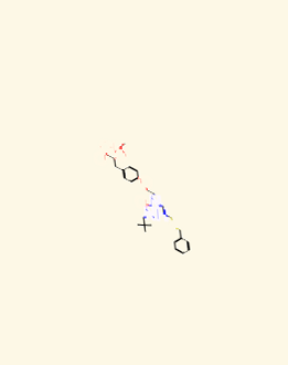 CCOC(Cc1ccc(OCCN(CCCSCc2ccccc2)C(=O)NCC(C)(C)C)cc1)C(=O)O